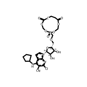 N#Cc1c(Cl)nc2c(ccn2[C@@H]2O[C@H](COCP3(=O)OCOC(=O)CCCC(=O)OCO3)[C@@H](O)[C@H]2O)c1NC1CCCC1